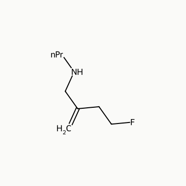 C=C(CCF)CNCCC